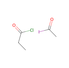 CC(=O)I.CCC(=O)Cl